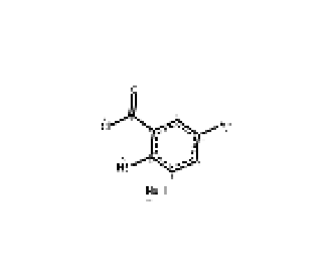 CC(=O)c1ccc(S)c(C(=O)Cl)c1.[NaH]